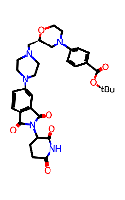 CC(C)(C)OC(=O)c1ccc(N2CCO[C@H](CN3CCN(c4ccc5c(c4)C(=O)N(C4CCC(=O)NC4=O)C5=O)CC3)C2)cc1